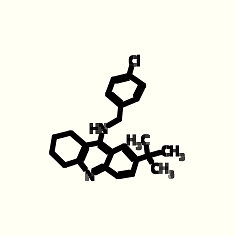 CC(C)(C)c1ccc2nc3c(c(NCc4ccc(Cl)cc4)c2c1)CCCC3